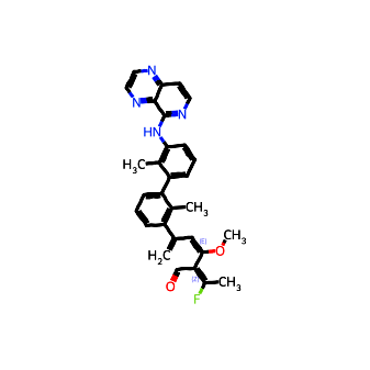 C=C(/C=C(OC)\C(C=O)=C(/C)F)c1cccc(-c2cccc(Nc3nccc4nccnc34)c2C)c1C